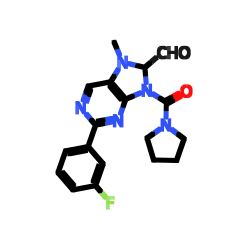 CN1c2cnc(-c3cccc(F)c3)nc2N(C(=O)N2CCCC2)C1C=O